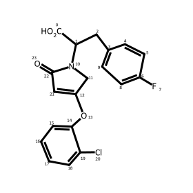 O=C(O)C(Cc1ccc(F)cc1)N1CC(Oc2ccccc2Cl)=CC1=O